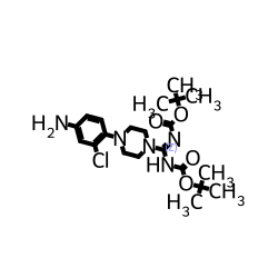 CC(C)(C)OC(=O)/N=C(/NC(=O)OC(C)(C)C)N1CCN(c2ccc(N)cc2Cl)CC1